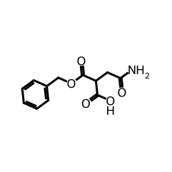 NC(=O)CC(C(=O)O)C(=O)OCc1ccccc1